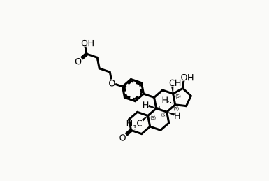 C[C@]12CCC(=O)CC1CC[C@@H]1[C@H]2C(c2ccc(OCCCC(=O)O)cc2)C[C@]2(C)C(O)CC[C@@H]12